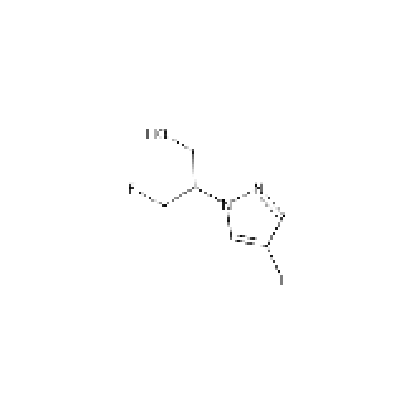 OCC(CF)n1cc(I)cn1